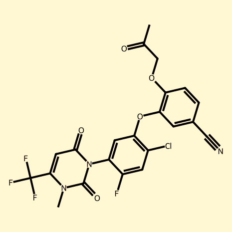 CC(=O)COc1ccc(C#N)cc1Oc1cc(-n2c(=O)cc(C(F)(F)F)n(C)c2=O)c(F)cc1Cl